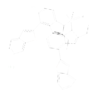 CCC1=Cc2c(-c3cc4ccccc4s3)cccc2[CH]1[Zr]([CH3])([CH3])(=[SiH2])[CH]1C(CC)=Cc2c(-c3cc4ccccc4s3)cccc21.Cl.Cl